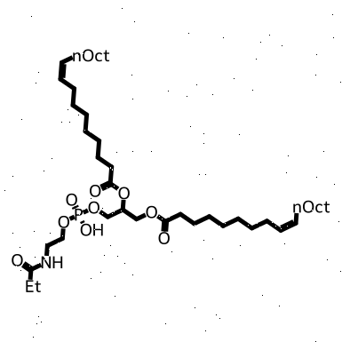 CCCCCCCC/C=C\CCCCCCCC(=O)OCC(COP(=O)(O)OCCNC(=O)CC)OC(=O)CCCCCCC/C=C\CCCCCCCC